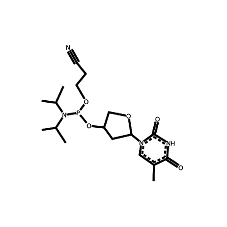 Cc1cn(C2CC(OP(OCCC#N)N(C(C)C)C(C)C)CO2)c(=O)[nH]c1=O